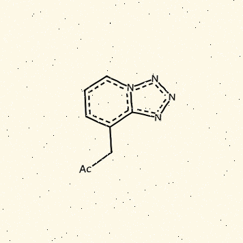 CC(=O)Cc1cccn2nnnc12